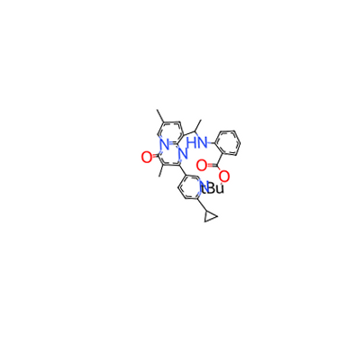 Cc1cc(C(C)Nc2ccccc2C(=O)OC(C)(C)C)c2nc(-c3ccc(C4CC4)nc3)c(C)c(=O)n2c1